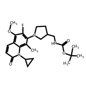 COc1c(F)c(N2CCC(CNC(=O)OC(C)(C)C)C2)c(C)c2c1ccc(=O)n2C1CC1